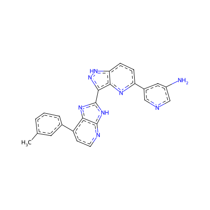 Cc1cccc(-c2ccnc3[nH]c(-c4n[nH]c5ccc(-c6cncc(N)c6)nc45)nc23)c1